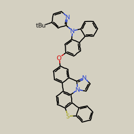 CC(C)(C)c1ccnc(-n2c3ccccc3c3ccc(Oc4ccc5c(c4)c4nccn4c4c5ccc5sc6ccccc6c54)cc32)c1